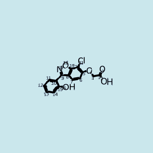 O=C(O)COc1ccc2c(-c3ccccc3O)noc2c1Cl